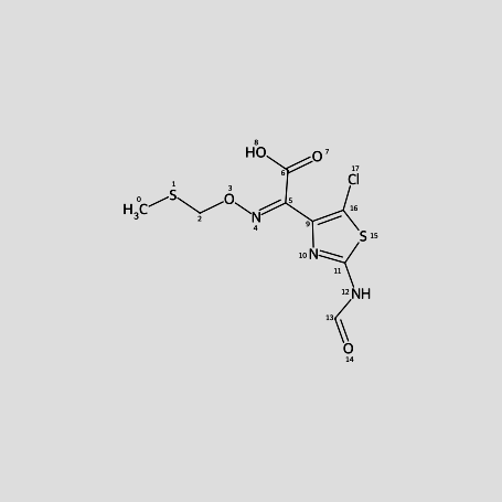 CSCON=C(C(=O)O)c1nc(NC=O)sc1Cl